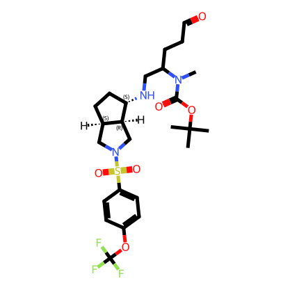 CN(C(=O)OC(C)(C)C)C(CCC=O)CN[C@H]1CC[C@@H]2CN(S(=O)(=O)c3ccc(OC(F)(F)F)cc3)C[C@@H]21